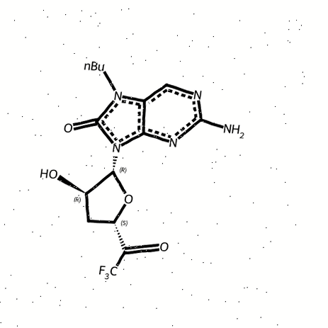 CCCCn1c(=O)n([C@@H]2O[C@H](C(=O)C(F)(F)F)C[C@H]2O)c2nc(N)ncc21